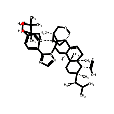 CC(C)[C@@H](C)[C@@]1(C)CC[C@]2(C)[C@H]3CC[C@@H]4[C@@]5(COC[C@]4(C)[C@@H](OC[C@](C)(N)C(C)(C)C)C(n4ncnc4-c4ccc(CN)cc4)C5)C3=CC[C@@]2(C)[C@@H]1C(=O)O